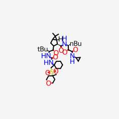 CCCC[C@H](NC(=O)[C@H]1C(C(=O)[C@@H](NC(=O)NC2(CS(=O)(=O)C3(C)CCOCC3)CCCCC2)C(C)(C)C)CC2[C@@H]1C2(C)C)C(=O)C(=O)NC1CC1